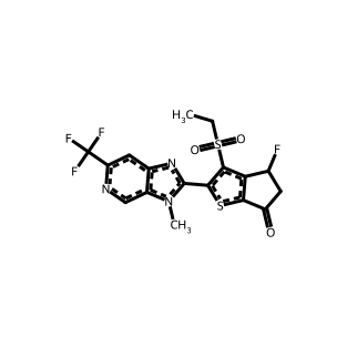 CCS(=O)(=O)c1c(-c2nc3cc(C(F)(F)F)ncc3n2C)sc2c1C(F)CC2=O